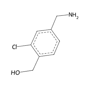 NCc1ccc(CO)c(Cl)c1